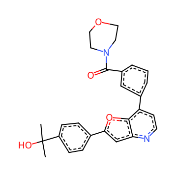 CC(C)(O)c1ccc(-c2cc3nccc(-c4cccc(C(=O)N5CCOCC5)c4)c3o2)cc1